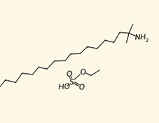 CCCCCCCCCCCCCCCCC(C)(C)N.CCOS(=O)(=O)O